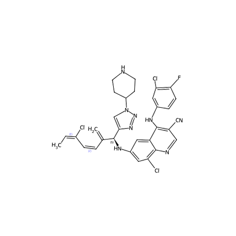 C=C(/C=C\C(Cl)=C/C)[C@H](Nc1cc(Cl)c2ncc(C#N)c(Nc3ccc(F)c(Cl)c3)c2c1)c1cn(C2CCNCC2)nn1